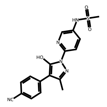 Cc1nn(-c2ccc(NS(C)(=O)=O)cn2)c(O)c1-c1ccc(C#N)cc1